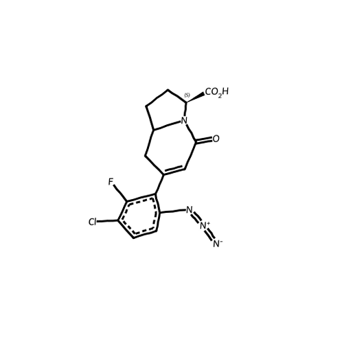 [N-]=[N+]=Nc1ccc(Cl)c(F)c1C1=CC(=O)N2C(CC[C@H]2C(=O)O)C1